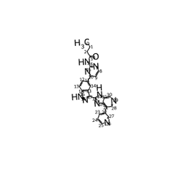 CCCC(=O)Nc1nccc(-c2ccc3[nH]nc(-c4nc5c(-c6cccnc6)cncc5[nH]4)c3c2)n1